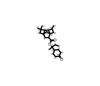 CCC(C)(OC(=O)C1CC23CC(C)(C)C2C2C(C)CC12C3)C1CCC(=O)CC1